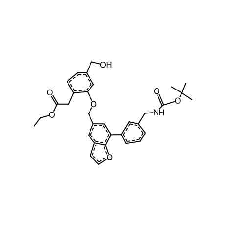 CCOC(=O)Cc1ccc(CO)cc1OCc1cc(-c2cccc(CNC(=O)OC(C)(C)C)c2)c2occc2c1